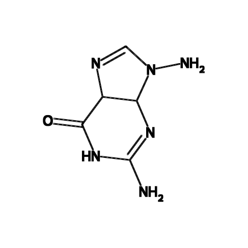 NC1=NC2C(N=CN2N)C(=O)N1